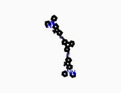 CC1(C)c2cc(/C=C/c3ccc4c5ccc(/C=C/c6ccc7c(c6)C(C)(C)c6cc(N(c8ccccc8)c8ccccn8)ccc6-7)cc5c5ccccc5c4c3)ccc2-c2ccc(N(c3ccccc3)c3ccccn3)cc21